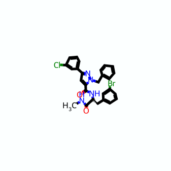 CNC(=O)[C@H](Cc1cccc(Br)c1)NC(=O)c1cc(-c2cccc(Cl)c2)nn1Cc1ccccc1